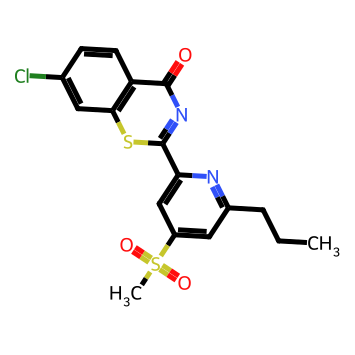 CCCc1cc(S(C)(=O)=O)cc(-c2nc(=O)c3ccc(Cl)cc3s2)n1